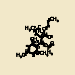 CCCOC(=O)C(CC(C)C)C(=O)c1c(C)cc(C)cc1C.O=[PH3]